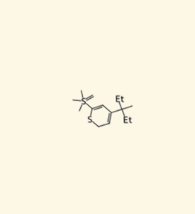 C=S(C)(C)(C)C1=CC(C(C)(CC)CC)=CCS1